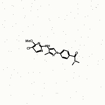 COc1nc(Nc2cn(-c3ccc(C(=O)N(C)C)cc3)nc2C)ncc1Cl